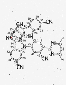 Cc1cc(C)nc(-c2cc(-n3c4cc(C#N)ccc4c4ccc(C#N)cc43)c(-n3c4cc(C#N)ccc4c4ccc(C#N)cc43)cc2C#N)n1